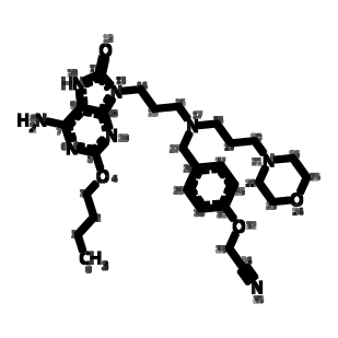 CCCCOc1nc(N)c2[nH]c(=O)n(CCCN(CCCN3CCOCC3)Cc3ccc(OCC#N)cc3)c2n1